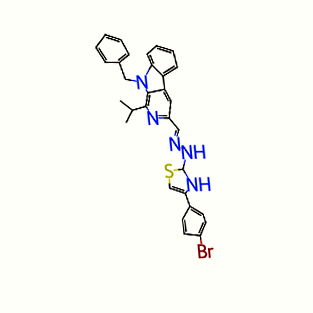 CC(C)c1nc(C=NNC2NC(c3ccc(Br)cc3)=CS2)cc2c3ccccc3n(Cc3ccccc3)c12